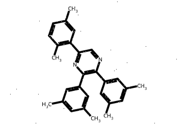 Cc1cc(C)cc(-c2ncc(-c3cc(C)ccc3C)nc2-c2cc(C)cc(C)c2)c1